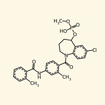 COP(=O)(O)OC1CCCN(C(=O)c2ccc(NC(=O)c3ccccc3C)cc2C)c2ccc(Cl)cc21